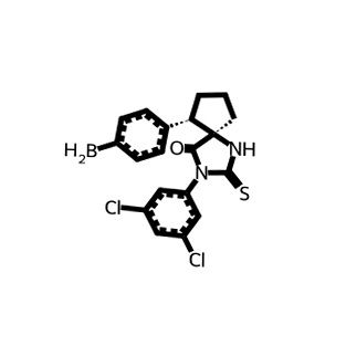 Bc1ccc([C@@H]2CCC[C@@]23NC(=S)N(c2cc(Cl)cc(Cl)c2)C3=O)cc1